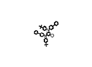 COc1cc(N(c2ccc(C(C)(C)C)cc2)[C@H]2C=CC(c3ccccc3)=CC2)cc(N(c2ccc(C(C)(C)C)cc2)[C@H]2C=CC(c3ccccc3)=CC2)c1